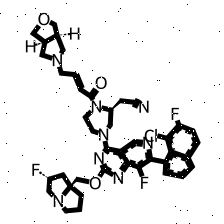 N#CC[C@H]1CN(c2nc(OC[C@@]34CCCN3C[C@H](F)C4)nc3c(F)c(-c4cccc5ccc(F)c(Cl)c45)ncc23)CCN1C(=O)/C=C/CN1C[C@H]2COC[C@H]2C1